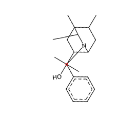 CC1CC2C(C(C)(C)O)CC1(C)C(C)N2Cc1ccccc1